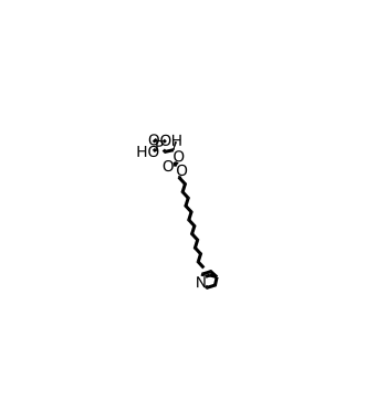 C1CN2CCC1CC2.CCCCCCCCCCCCCCOC(=O)O[C@H](C)CP(=O)(O)O